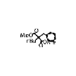 CCCCC(Cc1ccccc1)(C(=O)OC)C(=O)OC